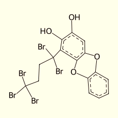 Oc1cc2c(c(C(Br)(Br)CCC(Br)(Br)Br)c1O)Oc1ccccc1O2